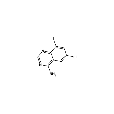 Nc1ncnc2c(I)cc(Cl)cc12